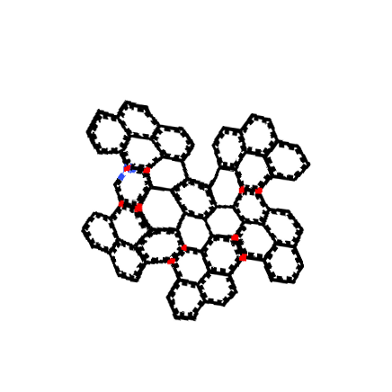 c1cncc(-c2c(-c3ccc4ccc5cccc6ccc3c4c56)c(-c3ccc4ccc5cccc6ccc3c4c56)c(-c3ccc4ccc5cccc6ccc3c4c56)c(-c3ccc4ccc5cccc6ccc3c4c56)c2-c2ccc3ccc4cccc5ccc2c3c45)c1